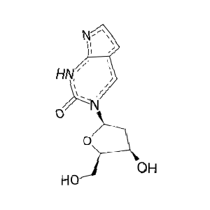 O=c1[nH]c2nccc-2cn1[C@H]1C[C@@H](O)[C@@H](CO)O1